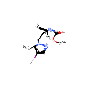 CCOC(=O)c1c(I)cnn1CC(C)(C)NC(=O)OC(C)(C)C